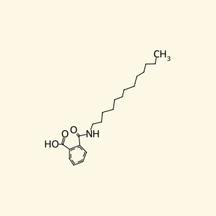 CCCCCCCCCCCCCNC(=O)c1ccccc1C(=O)O